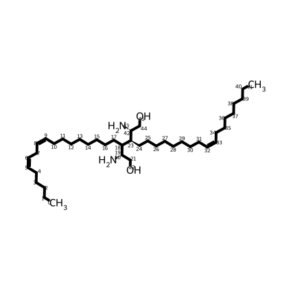 CCCCC/C=C\C/C=C\CCCCCCCCC([C@@H](N)CO)[C@H](CCCCCCCC/C=C\CCCCCCCC)[C@H](N)CO